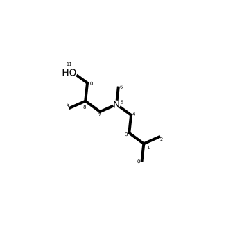 CC(C)CCN(C)CC(C)CO